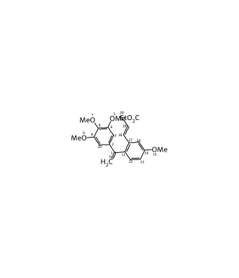 C=C(c1cc(OC)c(OC)c(OC)c1)c1ccc(OC)cc1/C=C/C(=O)OCC